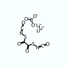 O=C=NSC(=O)C(=O)SN=C=O.[Li+].[Li+].[Li+].[O-]B([O-])[O-]